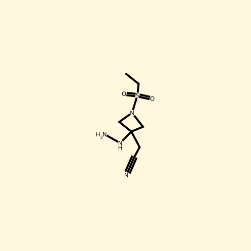 CCS(=O)(=O)N1CC(CC#N)(NN)C1